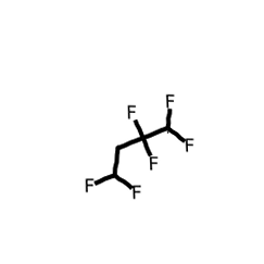 F[C](F)C(F)(F)CC(F)F